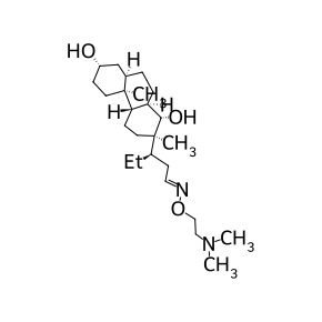 CC[C@H](C/C=N/OCCN(C)C)[C@@]1(C)CC[C@H]2[C@@H](CC[C@@H]3C[C@@H](O)CC[C@@]32C)[C@@H]1O